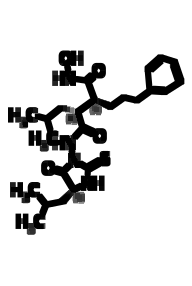 CC(C)C[C@@H]1NC(=S)N(NC(=O)[C@H](CC(C)C)[C@H](CCCc2ccccc2)C(=O)NO)C1=O